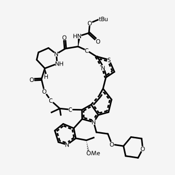 CO[C@@H](C)c1ncccc1-c1c2c3cc(ccc3n1CCOC1CCOCC1)-c1csc(n1)C[C@H](NC(=O)OC(C)(C)C)C(=O)N1CCC[C@H](N1)C(=O)OCC(C)(C)C2